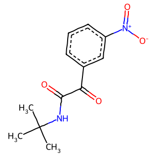 CC(C)(C)NC(=O)C(=O)c1cccc([N+](=O)[O-])c1